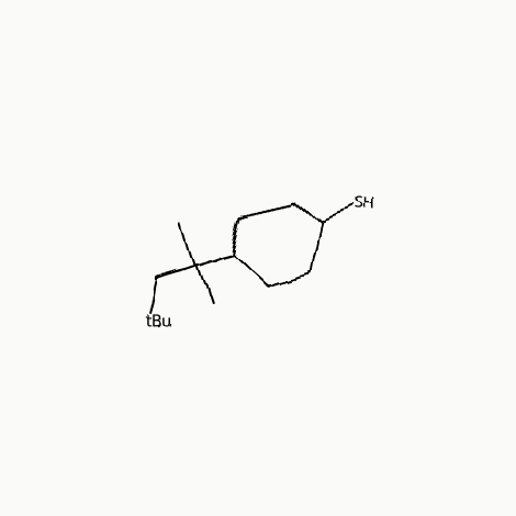 CC(C)(C)CC(C)(C)C1CCC(S)CC1